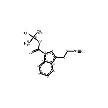 [C-]#[N+]CCc1cn(C(=O)OC(C)(C)C)c2ccccc12